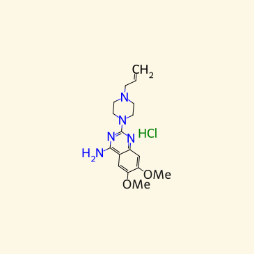 C=CCN1CCN(c2nc(N)c3cc(OC)c(OC)cc3n2)CC1.Cl